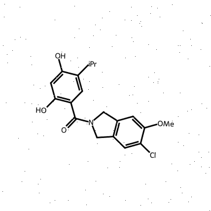 COc1cc2c(cc1Cl)CN(C(=O)c1cc(C(C)C)c(O)cc1O)C2